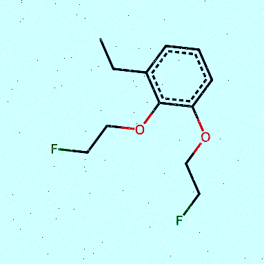 CCc1cccc(OCCF)c1OCCF